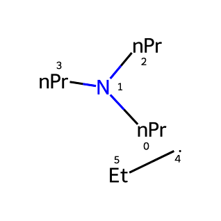 CCCN(CCC)CCC.[CH2]CC